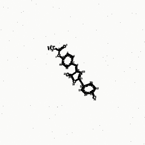 CC(=O)Oc1ccc(C=C2N=C(c3ccc(Cl)cc3)OC2=O)cc1